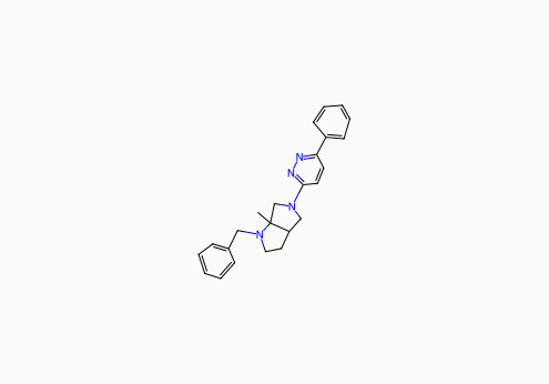 CC12CN(c3ccc(-c4ccccc4)nn3)CC1CCN2Cc1ccccc1